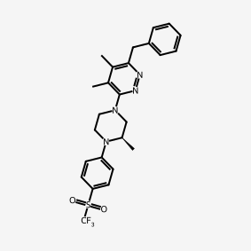 Cc1c(Cc2ccccc2)nnc(N2CCN(c3ccc(S(=O)(=O)C(F)(F)F)cc3)[C@H](C)C2)c1C